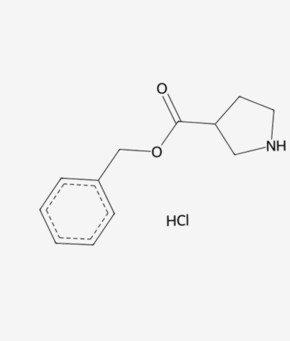 Cl.O=C(OCc1ccccc1)C1CCNC1